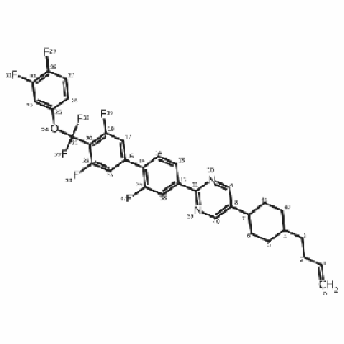 C=CCCC1CCC(c2cnc(-c3ccc(-c4cc(F)c(C(F)(F)Oc5ccc(F)c(F)c5)c(F)c4)c(F)c3)nc2)CC1